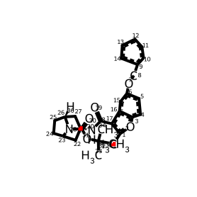 Cc1oc2ccc(OCc3ccccc3)cc2c1C(=O)N[C@@H]1CC2CC[C@H](C1)N2C(=O)OC(C)(C)C